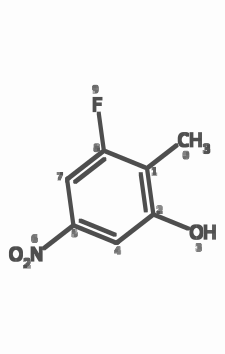 Cc1c(O)cc([N+](=O)[O-])cc1F